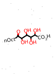 CCCCCCCCC(=O)C(O)C(O)C(O)C(O)C(=O)O